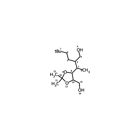 CC(C(CO)CCC(C)(C)C)C1OC(C)(C)OC1CO